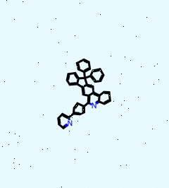 c1ccc(C2(c3ccccc3)c3ccccc3-c3cc4c(-c5ccc(-c6ccccn6)cc5)nc5ccccc5c4cc32)cc1